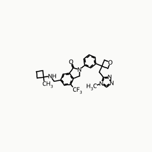 Cn1cnnc1CC1(c2cccc(N3Cc4c(cc(CNC5(C)CCC5)cc4C(F)(F)F)C3=O)c2)COC1